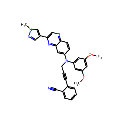 COc1cc(OC)cc(N(CC#Cc2ccccc2C#N)c2ccc3ncc(-c4cnn(C)c4)nc3c2)c1